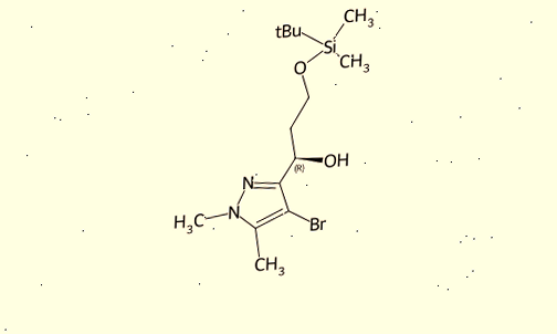 Cc1c(Br)c([C@H](O)CCO[Si](C)(C)C(C)(C)C)nn1C